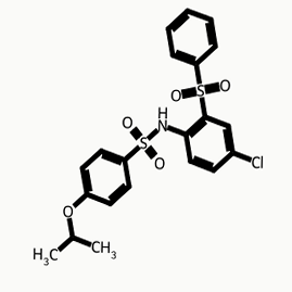 CC(C)Oc1ccc(S(=O)(=O)Nc2ccc(Cl)cc2S(=O)(=O)c2ccccc2)cc1